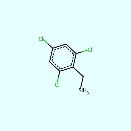 [SiH3]Cc1c(Cl)cc(Cl)cc1Cl